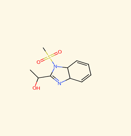 CC(O)C1=NC2C=CC=CC2N1S(C)(=O)=O